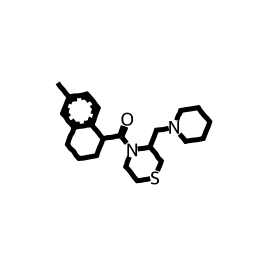 Cc1ccc2c(c1)CCCC2C(=O)N1CCSCC1CN1CCCCC1